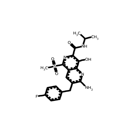 CC(C)NC(=O)c1nc(S(C)(=O)=O)c2cc(Cc3ccc(F)cc3)c(N)nc2c1O